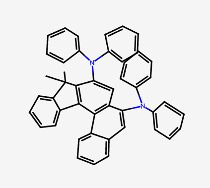 CC1(C)c2ccccc2-c2c1c(N(c1ccccc1)c1ccccc1)cc1c(N(c3ccccc3)c3ccccc3)cc3ccccc3c21